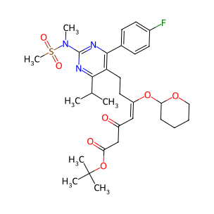 CC(C)c1nc(N(C)S(C)(=O)=O)nc(-c2ccc(F)cc2)c1CCC(=CC(=O)CC(=O)OC(C)(C)C)OC1CCCCO1